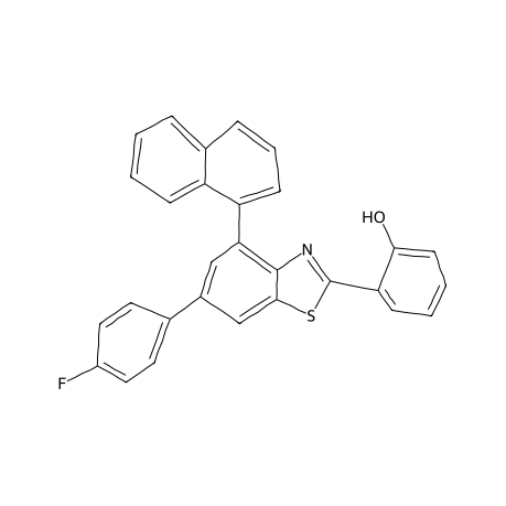 Oc1ccccc1-c1nc2c(-c3cccc4ccccc34)cc(-c3ccc(F)cc3)cc2s1